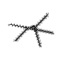 CCCCCCCCCCCCN(CCCCCCCCCCCC)CCN1CCN(CCCCCCCCCCCC)C(N(CCCCCCCCCCCC)CCCCCCCCCCCC)C1